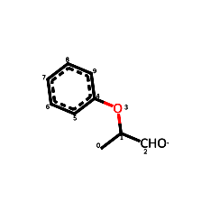 CC([C]=O)Oc1ccccc1